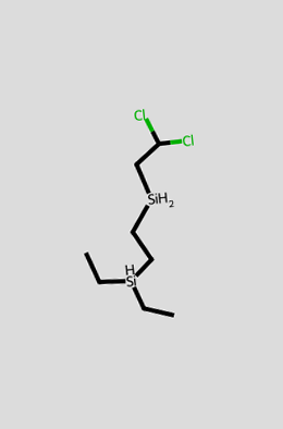 CC[SiH](CC)CC[SiH2]CC(Cl)Cl